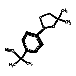 COC(C)(C)c1ccc(B2OCC(C)(C)O2)cc1